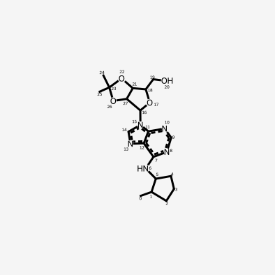 CC1CCCC1Nc1ncnc2c1ncn2C1OC(CO)C2OC(C)(C)OC21